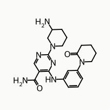 NC(=O)c1cnc(N2CCCC(N)C2)nc1Nc1cccc(N2CCCCC2=O)c1